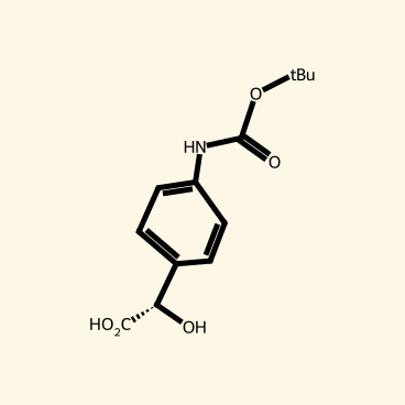 CC(C)(C)OC(=O)Nc1ccc([C@H](O)C(=O)O)cc1